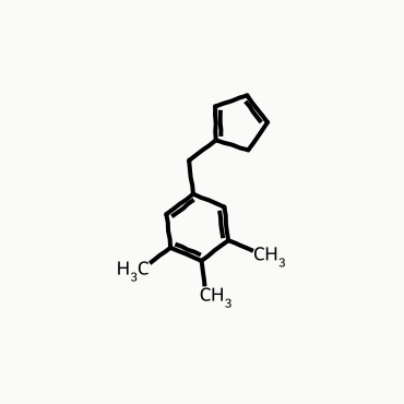 Cc1cc(CC2=CC=CC2)cc(C)c1C